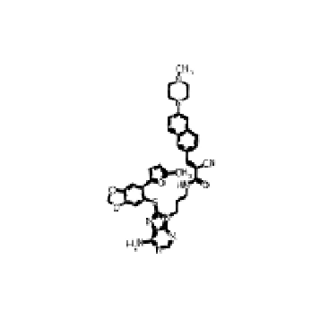 Cc1ccc(-c2cc3c(cc2Sc2nc4c(N)ncnc4n2CCCNC(=O)/C(C#N)=C/c2ccc4cc(N5CCN(C)CC5)ccc4c2)OCO3)o1